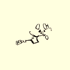 CC(C)(C)c1ccc(S(C)(=O)=O)s1